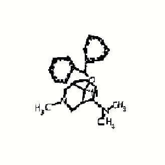 CN1CC2CC[C@@H](N(C)C)C(C1)[C@@H]2OC(c1ccccc1)c1ccccc1